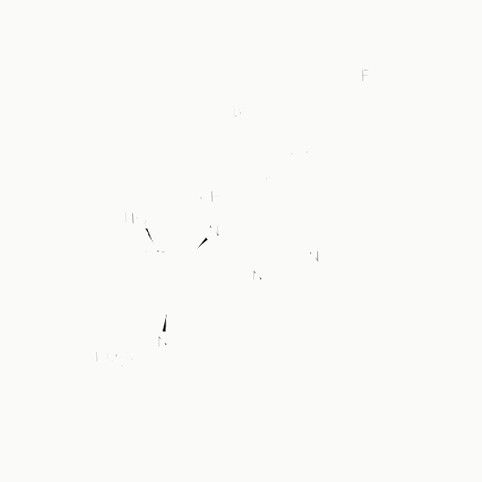 CN(c1ncncc1Oc1ccc(F)cc1Br)[C@H]1C[C@@H](NC(=O)O)C[C@H]1O